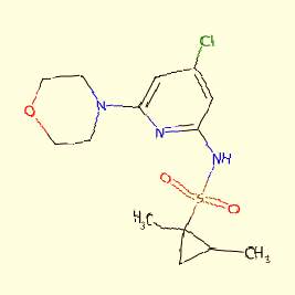 CC1CC1(C)S(=O)(=O)Nc1cc(Cl)cc(N2CCOCC2)n1